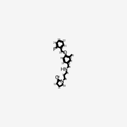 Cc1cc(CNCCCN2CCCC2=O)ccc1OCc1ccccc1F